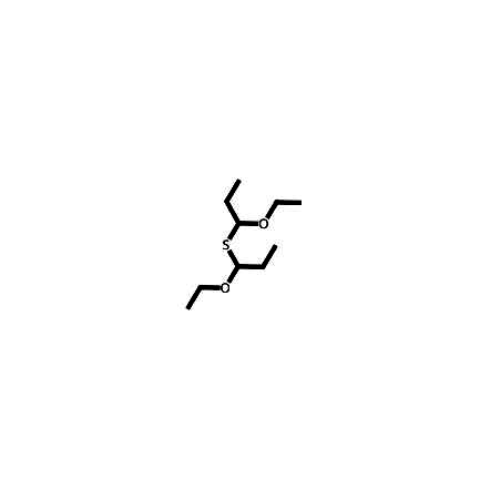 CCOC(CC)SC(CC)OCC